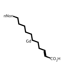 CCCCCCCCCCCCCCCCCC=CC(=O)O.[Gd]